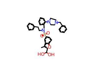 Cc1c(C(O)O)oc2ccc(S(=O)(=O)N(CCc3ccccc3)Cc3ccccc3N3CCN(Cc4ccccc4)CC3)cc12